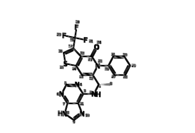 C[C@H](Nc1ncnc2[nH]cnc12)c1cc2scc(C(F)(F)F)c2c(=O)n1-c1ccccc1